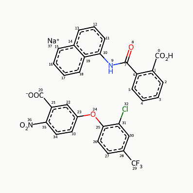 O=C(O)c1ccccc1C(=O)Nc1cccc2ccccc12.O=C([O-])c1cc(Oc2ccc(C(F)(F)F)cc2Cl)ccc1[N+](=O)[O-].[Na+]